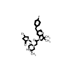 CCC1CC(=O)N(C[C@H]2CN[C@H](C)CN2CC(=O)N2CC(C)(C)c3ncc(Cc4ccc(F)cc4)cc32)C1